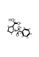 O=C(O)C1CCCN1S(=O)(=O)c1cc[c]cc1